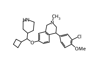 COc1ccc(C2CN(C)Cc3cc(OC(C4CCC4)C4CCNCC4)ccc32)cc1Cl